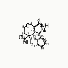 CC1=C2CCCCC(C)(C(N)=O)CC2C(c2ccccn2)=NN1